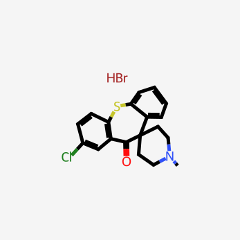 Br.CN1CCC2(CC1)C(=O)c1cc(Cl)ccc1Sc1ccccc12